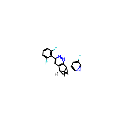 CC1(C)[C@H]2CC[C@]1(c1cncc(F)c1)c1nnc(-c3c(F)cccc3F)cc12